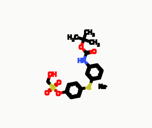 CC(C)(C)OC(=O)Nc1cccc(Sc2ccc(OS(=O)(=O)CO)cc2)c1.[Na]